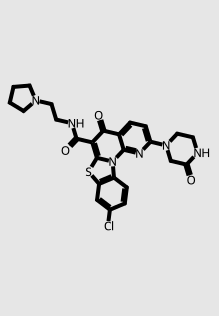 O=C1CN(c2ccc3c(=O)c(C(=O)NCCN4CCCC4)c4sc5cc(Cl)ccc5n4c3n2)CCN1